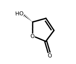 O=C1C=C[C@@H](O)O1